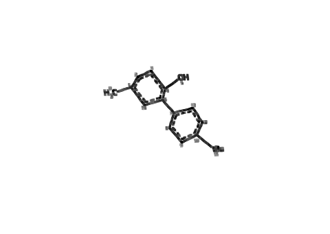 Cc1ccc(O)c(-c2ccc(C(C)(C)C)cc2)c1